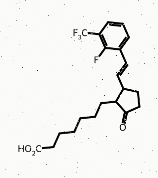 O=C(O)CCCCCCC1C(=O)CCC1C=Cc1cccc(C(F)(F)F)c1F